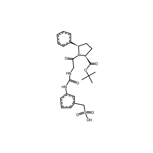 CC(C)(C)OC(=O)[C@@H]1CC[C@H](c2ccccc2)N1C(=O)CNC(=O)Nc1cccc(CS(=O)(=O)O)c1